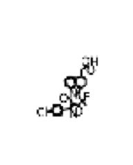 CC(C)(F)c1onc(-c2ccc(Cl)cc2)c1C(=O)n1cc2c3c(cccc31)/C(=C/C(=O)O)CC2